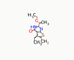 C=C(OCC)c1nc2sc(C)c(CC)c2c(=O)[nH]1